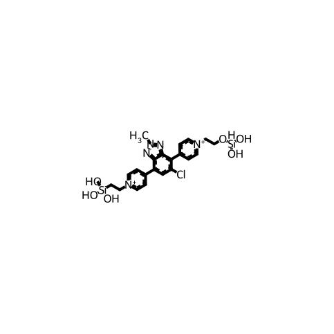 Cn1nc2c(-c3cc[n+](CC[Si](O)(O)O)cc3)cc(Cl)c(-c3cc[n+](CCO[SiH](O)O)cc3)c2n1